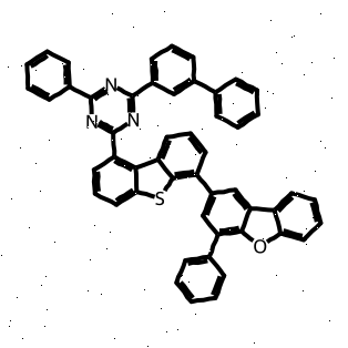 c1ccc(-c2cccc(-c3nc(-c4ccccc4)nc(-c4cccc5sc6c(-c7cc(-c8ccccc8)c8oc9ccccc9c8c7)cccc6c45)n3)c2)cc1